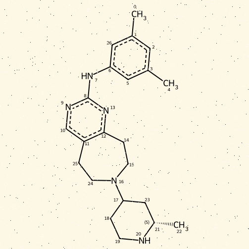 Cc1cc(C)cc(Nc2ncc3c(n2)CCN(C2CCN[C@@H](C)C2)CC3)c1